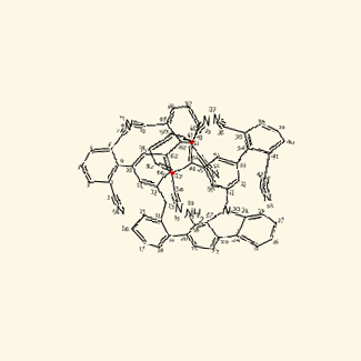 N#Cc1cccc(C#N)c1-c1cc(Cc2ccccc2-c2ccc3c4ccccc4n(-c4cc(-c5c(C#N)cccc5C#N)cc(-c5c(C#N)cccc5C#N)c4)c3c2N)cc(-c2c(C#N)cccc2C#N)c1